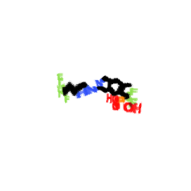 Cc1cc2cnc(NCCCC(F)(F)F)cc2cc1C(F)(F)P(=O)(O)O